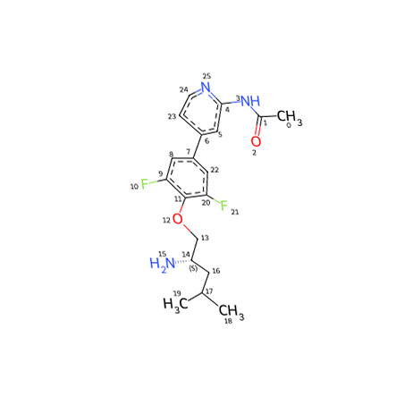 CC(=O)Nc1cc(-c2cc(F)c(OC[C@@H](N)CC(C)C)c(F)c2)ccn1